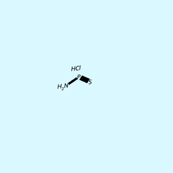 Cl.NP=S